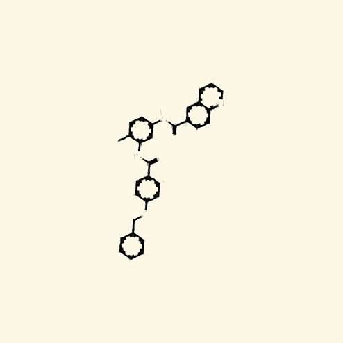 Cc1ccc(NC(=O)c2ccc3ncccc3c2)cc1NC(=O)c1ccc(OCc2ccccc2)cc1